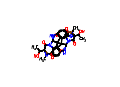 CC(O)C12SSC3(C(=O)N1C)C(O)C1(C45c6ccccc6NC4N4C(=O)C6(C(C)O)SSC4(C(=O)N6C)C5O)c4ccccc4NC1N3C2=O